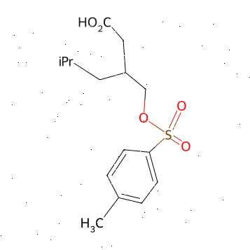 Cc1ccc(S(=O)(=O)OCC(CC(=O)O)CC(C)C)cc1